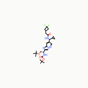 CC(C)(C)OC[C@H](NC(=O)OC(C)(C)C)c1cn2ncc(C(NC(=O)CC3CC(F)(F)C3)C3CC3)cc2n1